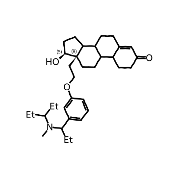 CCC(CC)N(C)C(CC)c1cccc(OCC[C@]23CCC4C5CCC(=O)C=C5CCC4C2CC[C@@H]3O)c1